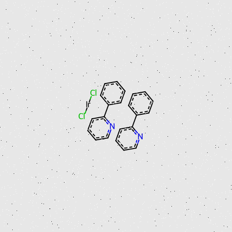 [Cl][Ir][Cl].c1ccc(-c2ccccn2)cc1.c1ccc(-c2ccccn2)cc1